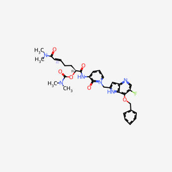 CN(C)C(=O)/C=C/CC[C@H](OC(=O)N(C)C)C(=O)Nc1cccn(Cc2cc3ncc(F)c(OCc4ccccc4)c3[nH]2)c1=O